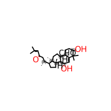 CC(C)=CC(=O)C[C@@H](C)C1CC[C@@]2(C)[C@@H]3[C@@H](O)C=C4[C@@H](CC[C@H](O)C4(C)C)[C@]3(C=O)CC[C@]12C